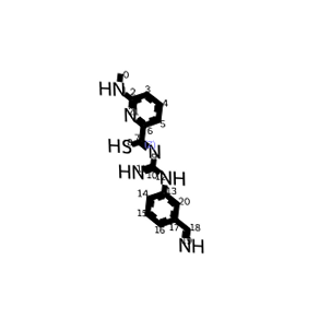 CNc1cccc(/C(S)=N/C(=N)Nc2cccc(C=N)c2)n1